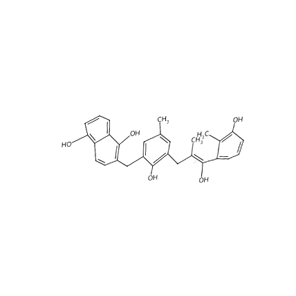 C/C(Cc1cc(C)cc(Cc2ccc3c(O)cccc3c2O)c1O)=C(/O)c1cccc(O)c1C